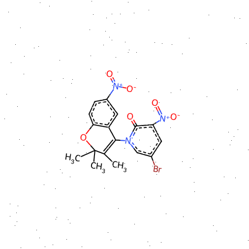 CC1=C(n2cc(Br)cc([N+](=O)[O-])c2=O)c2cc([N+](=O)[O-])ccc2OC1(C)C